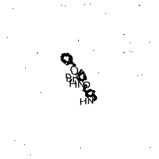 O=C(Cc1ccc2cc[nH]c2c1)Nc1cccc(OCc2ccccc2)c1Br